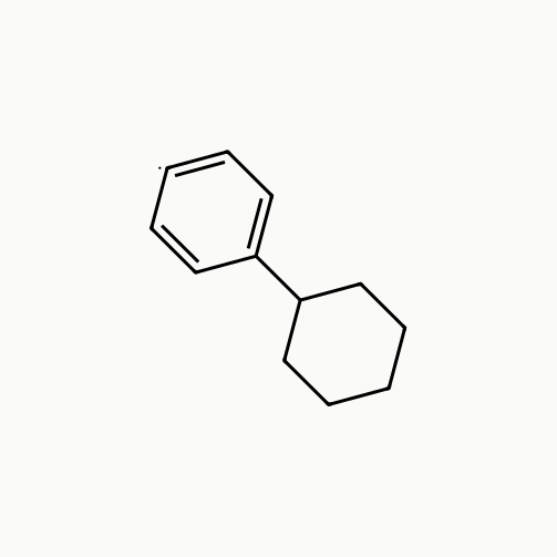 [c]1ccc(C2CCCCC2)cc1